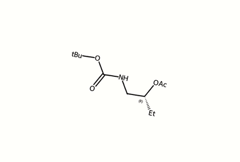 CC[C@H](CNC(=O)OC(C)(C)C)OC(C)=O